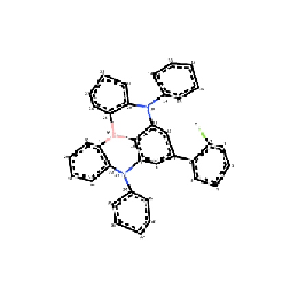 Fc1ccccc1-c1cc2c3c(c1)N(c1ccccc1)c1ccccc1B3c1ccccc1N2c1ccccc1